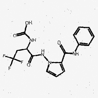 O=C(O)NC(CC(F)(F)F)C(=O)Nn1cccc1C(=O)Nc1ccccc1